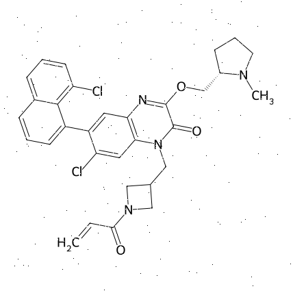 C=CC(=O)N1CC(Cn2c(=O)c(OC[C@@H]3CCCN3C)nc3cc(-c4cccc5cccc(Cl)c45)c(Cl)cc32)C1